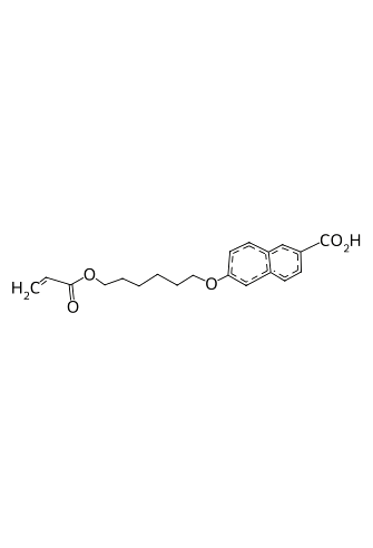 C=CC(=O)OCCCCCCOc1ccc2cc(C(=O)O)ccc2c1